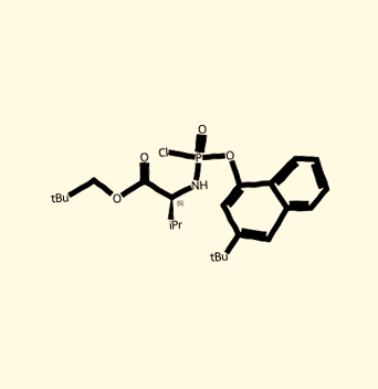 CC(C)[C@H](NP(=O)(Cl)Oc1cc(C(C)(C)C)cc2ccccc12)C(=O)OCC(C)(C)C